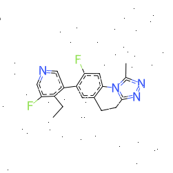 CCc1c(F)cncc1-c1cc2c(cc1F)-n1c(C)nnc1CC2